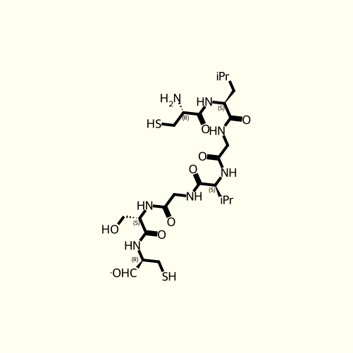 CC(C)C[C@H](NC(=O)[C@@H](N)CS)C(=O)NCC(=O)N[C@H](C(=O)NCC(=O)N[C@@H](CO)C(=O)N[C@H]([C]=O)CS)C(C)C